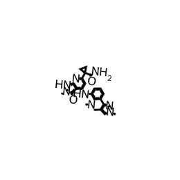 CN1Cc2cn(C)nc2-c2cccc(Nc3cc(C4(C(N)=O)CC4)nc4[nH]n(C)c(=O)c34)c21